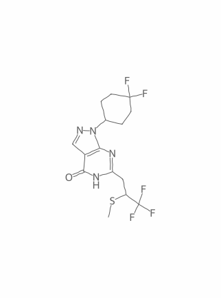 CSC(Cc1nc2c(cnn2C2CCC(F)(F)CC2)c(=O)[nH]1)C(F)(F)F